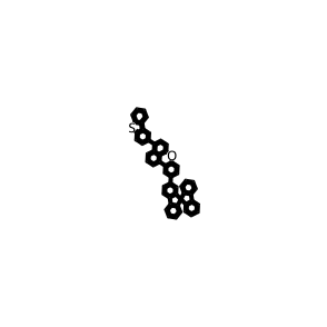 c1ccc2c(c1)-c1ccccc1C21c2ccccc2-c2ccc(-c3ccc4c(c3)-c3cccc5c(-c6ccc7sc8ccccc8c7c6)ccc(c35)O4)cc21